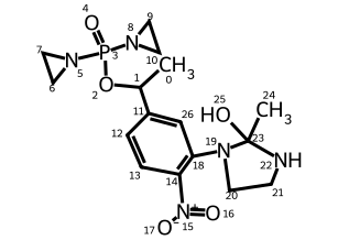 CC(OP(=O)(N1CC1)N1CC1)c1ccc([N+](=O)[O-])c(N2CCNC2(C)O)c1